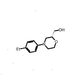 CCc1ccc(N2CCO[C@@H](CO)C2)cc1